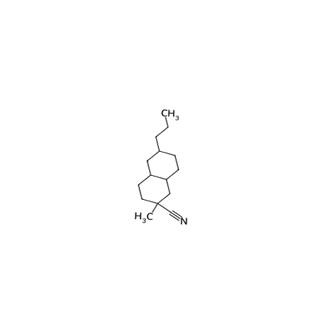 CCCC1CCC2CC(C)(C#N)CCC2C1